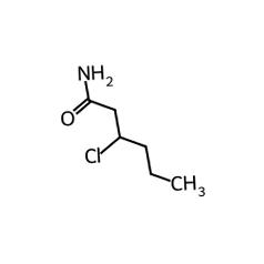 CCCC(Cl)CC(N)=O